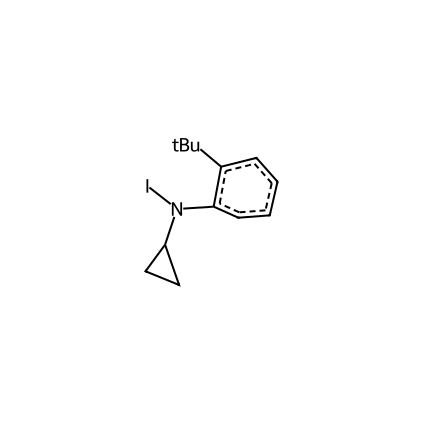 CC(C)(C)c1ccccc1N(I)C1CC1